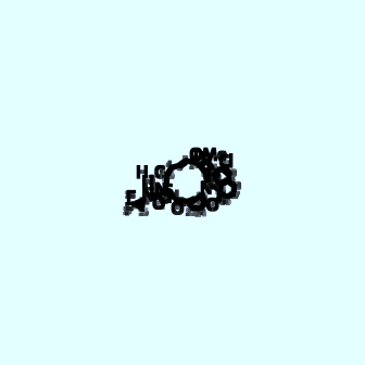 CO[C@H]1/C=C/C[C@H](C)C[S@@](=O)(NC(=O)N[C@@H]2CC2(F)F)=NC(=O)c2ccc3c(c2)N(C[C@@H]2CC[C@H]21)C[C@@]1(CCCc2cc(Cl)ccc21)CO3